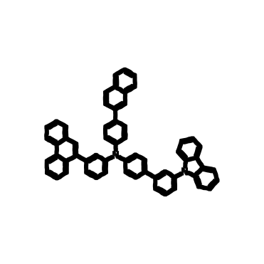 c1cc(-c2cc3ccccc3c3ccccc23)cc(N(c2ccc(-c3cccc(-n4c5ccccc5c5ccccc54)c3)cc2)c2ccc(-c3ccc4ccccc4c3)cc2)c1